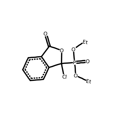 CCOP(=O)(OCC)C1(Cl)OC(=O)c2ccccc21